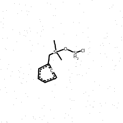 C[Si](C)(Cc1ccccc1)O[SiH2]Cl